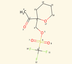 CC(=O)C1(COS(=O)(=O)C(F)(F)F)CCCCO1